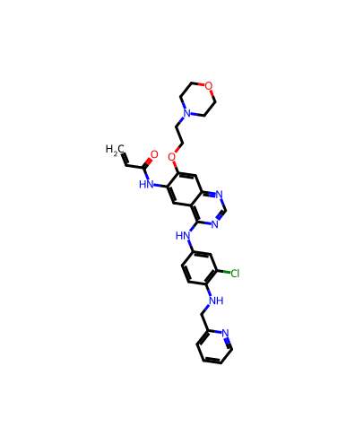 C=CC(=O)Nc1cc2c(Nc3ccc(NCc4ccccn4)c(Cl)c3)ncnc2cc1OCCN1CCOCC1